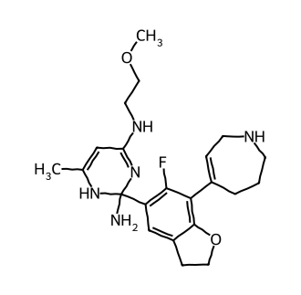 COCCNC1=NC(N)(c2cc3c(c(C4=CCNCCC4)c2F)OCC3)NC(C)=C1